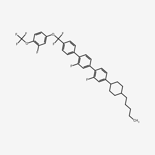 CCCCCC1CCC(c2ccc(-c3ccc(-c4ccc(C(F)(F)Oc5ccc(OC(F)(F)F)c(F)c5)cc4)c(F)c3)c(F)c2)CC1